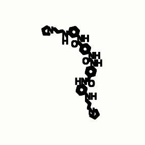 O=C(Nc1ccc(C(=O)Nc2cccc(NCCCN3CCCC3)c2)cc1)Nc1ccc(C(=O)Nc2cccc(NCCCN3CCCC3)c2)cc1